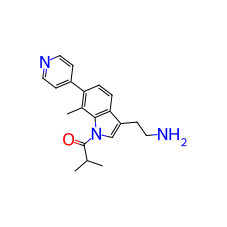 Cc1c(-c2ccncc2)ccc2c(CCN)cn(C(=O)C(C)C)c12